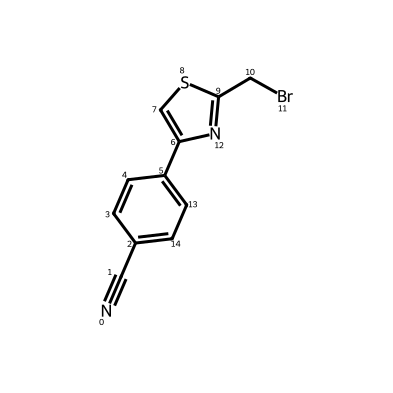 N#Cc1ccc(-c2csc(CBr)n2)cc1